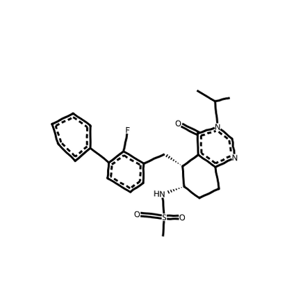 CC(C)n1cnc2c(c1=O)[C@@H](Cc1cccc(-c3ccccc3)c1F)[C@@H](NS(C)(=O)=O)CC2